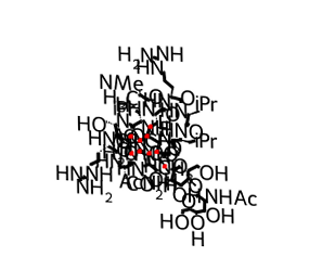 CN[C@@H](C)C(=O)N[C@@H](CCCNC(=N)N)C(=O)N[C@@H](CCCNC(=N)N)C(=O)N[C@@H](CC(C)C)C(=O)N[C@@H](CC(C)C)C(=O)N[C@@H](CC(=O)N[C@H]1OC(CO)[C@@H](O[C@@H]2OC(CO)[C@@H](O)C(O)[C@@H]2NC(C)=O)C(O)[C@@H]1NC(C)=O)C(=O)N[C@@H](CC(C)C)C(=O)N[C@@H](CO)C(=O)N[C@@H](CCCNC(=N)N)C(=O)N[C@@H](CC(=O)O)C(=O)NC(C(=O)N[C@@H](C)C(C)=O)[C@@H](C)O